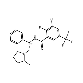 CC1CCCN1C[C@@H](NC(=O)c1cc(C(F)(F)F)cc(Cl)c1F)c1ccccc1